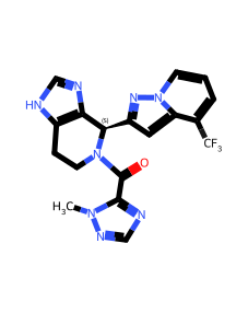 Cn1ncnc1C(=O)N1CCc2[nH]cnc2[C@H]1c1cc2c(C(F)(F)F)cccn2n1